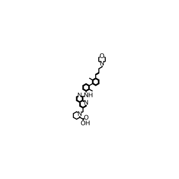 Cc1c(/C=C/CCN2CCOCC2)cccc1-c1cccc(Nc2nccc3cc(CN4CCCCC4C(=O)O)cnc23)c1C